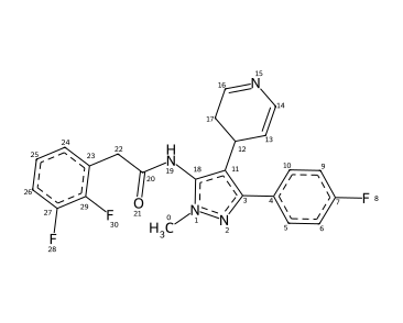 Cn1nc(-c2ccc(F)cc2)c(C2C=CN=CC2)c1NC(=O)Cc1cccc(F)c1F